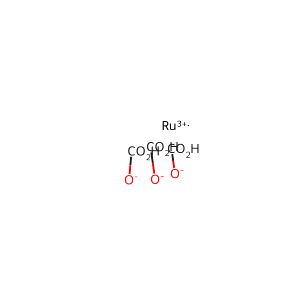 O=C([O-])O.O=C([O-])O.O=C([O-])O.[Ru+3]